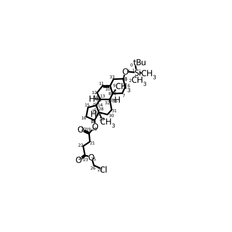 CC(C)(C)[Si](C)(C)O[C@H]1CC[C@@]2(C)C(=CC[C@H]3[C@@H]4CC[C@H](OC(=O)CCC(=O)OCCl)[C@@]4(C)CC[C@@H]32)C1